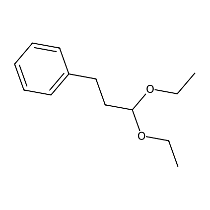 CCOC(CCc1ccccc1)OCC